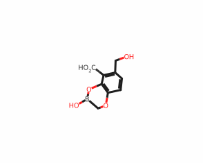 O=C(O)c1c(CO)ccc2c1OB(O)CO2